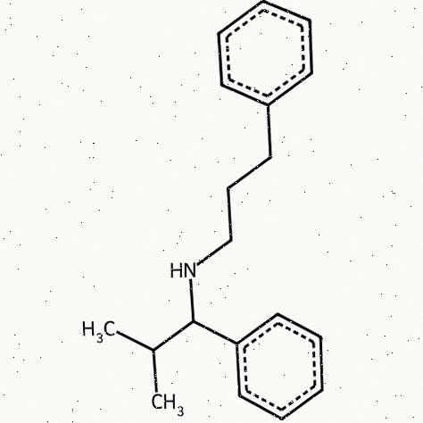 CC(C)C(NCCCc1ccccc1)c1ccccc1